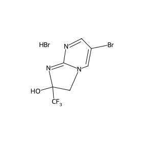 Br.OC1(C(F)(F)F)CN2C=C(Br)C=NC2=N1